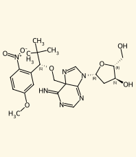 COc1ccc([N+](=O)[O-])c([C@@H](OCC23N=CN([C@H]4C[C@H](O)[C@@H](CO)O4)C2=NC=NC3=N)C(C)(C)C)c1